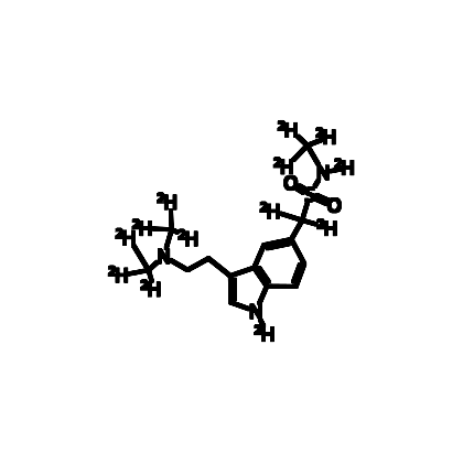 [2H]N(C([2H])([2H])[2H])S(=O)(=O)C([2H])([2H])c1ccc2c(c1)c(CCN(C([2H])([2H])[2H])C([2H])([2H])[2H])cn2[2H]